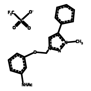 CC(=O)Nc1cccc(OC[n+]2cc(-c3ccccc3)n(C)n2)c1.O=S(=O)([O-])C(F)(F)F